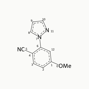 COc1ccc(C#N)c(-n2cccn2)c1